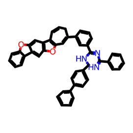 N=C(/N=C(\NCc1ccc(-c2ccccc2)cc1)c1cccc(C2=Cc3oc4cc5c(cc4c3C=CC2)oc2ccccc25)c1)c1ccccc1